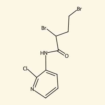 O=C(Nc1cccnc1Cl)C(Br)CCBr